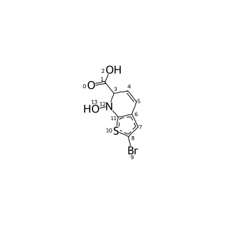 O=C(O)C1C=Cc2cc(Br)sc2N1O